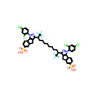 O=S(=O)(O)c1ccc2c(c1)Cc1c(C(CCCCCCCCC(c3nn(-c4ccc(Cl)cc4Cl)c4c3Cc3cc(S(=O)(=O)O)ccc3-4)C(F)(F)F)C(F)(F)F)nn(-c3ccc(Cl)cc3Cl)c1-2